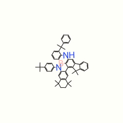 CC(C)(C)c1ccc(N2B3c4cccc(C(C)(C)c5ccccc5)c4Nc4cc5c(c(c43)-c3cc4c(cc32)C(C)(C)CCC4(C)C)C(C)(C)c2ccccc2-5)cc1